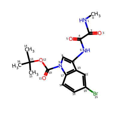 CNC(=O)C(=O)Nc1cn(C(=O)OC(C)(C)C)c2ccc(Br)cc12